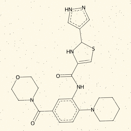 O=C(Nc1cc(C(=O)N2CCOCC2)ccc1N1CCCCC1)C1=CSC(c2cn[nH]c2)N1